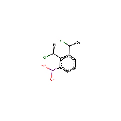 CCC(Cl)c1cccc(P(O)O)c1C(Cl)CC